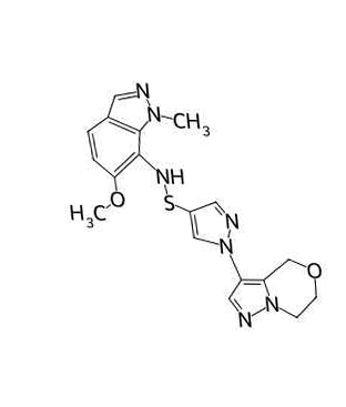 COc1ccc2cnn(C)c2c1NSc1cnn(-c2cnn3c2COCC3)c1